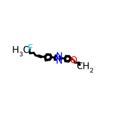 C=CCOc1ccc(-c2ncc(-c3ccc(C#CCCCC(C)F)cc3)cn2)cc1